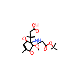 COC1C(=O)C(C)=CC(=O)C1(NCCC(=O)OC(C)(C)C)C(C)(C)CC(=O)O